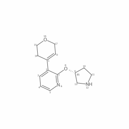 C1=C(c2cccnc2O[C@@H]2CCNC2)CCOC1